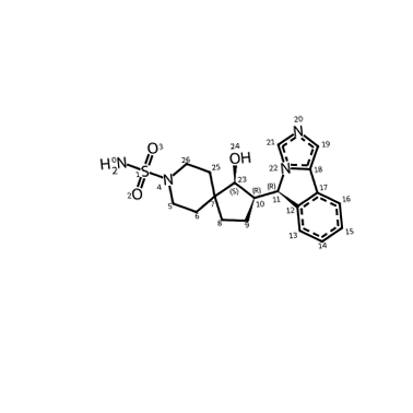 NS(=O)(=O)N1CCC2(CC[C@H]([C@@H]3c4ccccc4-c4cncn43)[C@@H]2O)CC1